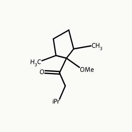 COC1(C(=O)CC(C)C)C(C)CCC1C